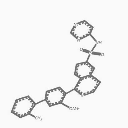 COc1cc(-c2ccccc2C)ccc1-c1nccc2cc(S(=O)(=O)Nc3ccncn3)ccc12